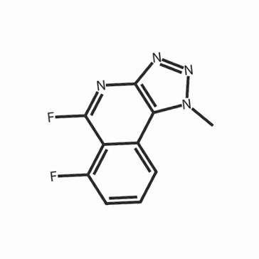 Cn1nnc2nc(F)c3c(F)cccc3c21